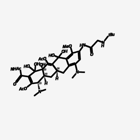 COc1c(NC(=O)CNC(C)(C)C)cc(N(C)C)c2c1C(O)(O)C1=C(OC(C)=O)[C@@]3(O)[C@@H](C[C@@H]1C2)[C@H](N(C)C)C(OC(C)=O)=C(C(=O)NC(C)=O)C3(O)O